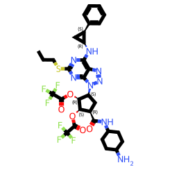 CCCSc1nc(N[C@@H]2C[C@H]2c2ccccc2)c2nnn([C@H]3C[C@@H](C(=O)NC4CCC(N)CC4)[C@H](OC(=O)C(F)(F)F)[C@@H]3OC(=O)C(F)(F)F)c2n1